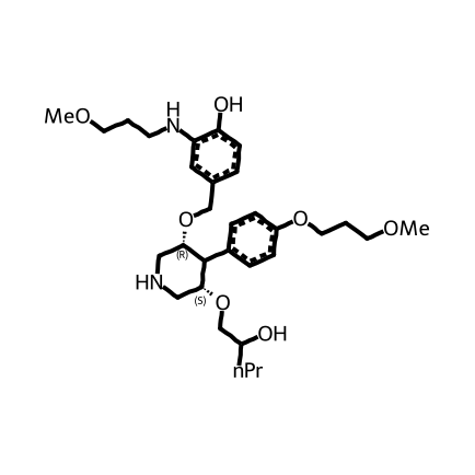 CCCC(O)CO[C@@H]1CNC[C@H](OCc2ccc(O)c(NCCCOC)c2)C1c1ccc(OCCCOC)cc1